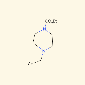 CCOC(=O)N1CCN(CC(C)=O)CC1